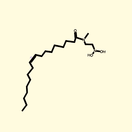 CCCCCCCC/C=C\CCCCCCCC(=O)N(C)CCN(O)O